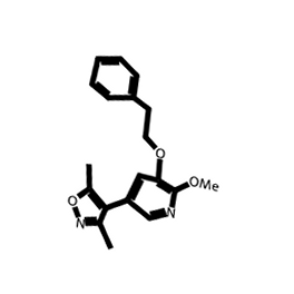 COc1ncc(-c2c(C)noc2C)cc1OCCc1ccccc1